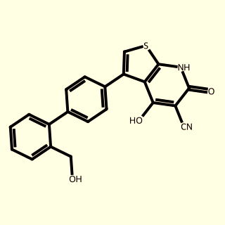 N#Cc1c(O)c2c(-c3ccc(-c4ccccc4CO)cc3)csc2[nH]c1=O